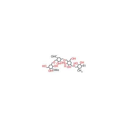 CCC1CC(C)C(COCC2CC(CO)C(COCC3CC(C=O)C(COCC4CC(CO)C(O)C(OC)C4O)C(O)C3O)C(O)C2O)C(O)C1O